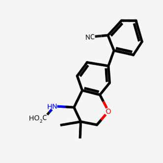 CC1(C)COc2cc(-c3ccccc3C#N)ccc2C1NC(=O)O